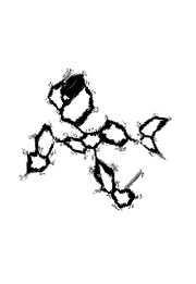 C1=CC2CCN(c3ccc4c(-c5ccc6ccccc6c5)c5cc(N6CCc7ccccc76)ccc5c(-c5ccc6ccccc6c5)c4c3)C2C=C1